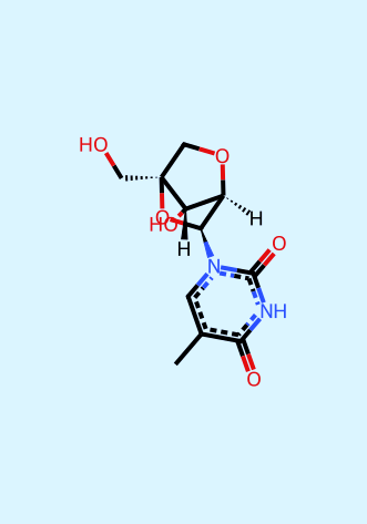 Cc1cn([C@H]2O[C@@]3(CO)CO[C@@H]2[C@@H]3O)c(=O)[nH]c1=O